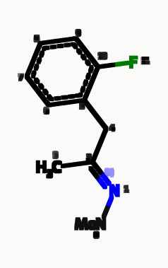 CN/N=C(\C)Cc1ccccc1F